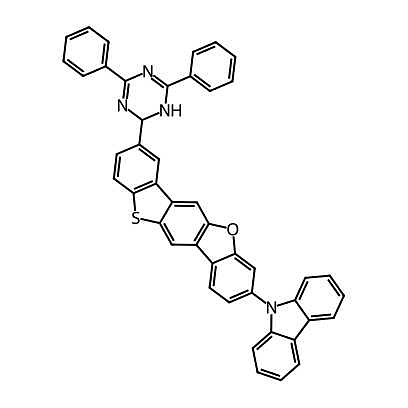 c1ccc(C2=NC(c3ccc4sc5cc6c(cc5c4c3)oc3cc(-n4c5ccccc5c5ccccc54)ccc36)NC(c3ccccc3)=N2)cc1